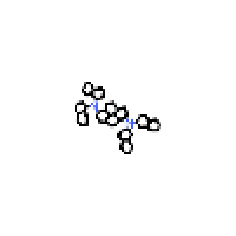 c1ccc2cc(N(c3ccc4ccccc4c3)c3ccc4ccc5c(N(c6cccc7ccccc67)c6cccc7ccccc67)ccc6ccc3c4c65)ccc2c1